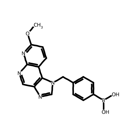 COc1ccc2c(ncc3ncn(Cc4ccc(B(O)O)cc4)c32)n1